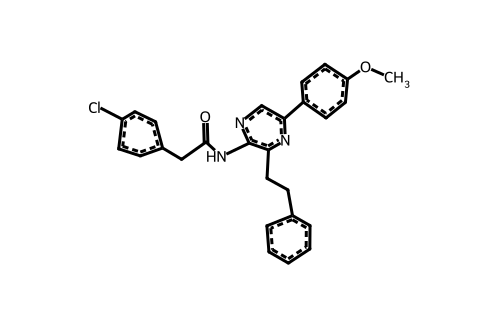 COc1ccc(-c2cnc(NC(=O)Cc3ccc(Cl)cc3)c(CCc3ccccc3)n2)cc1